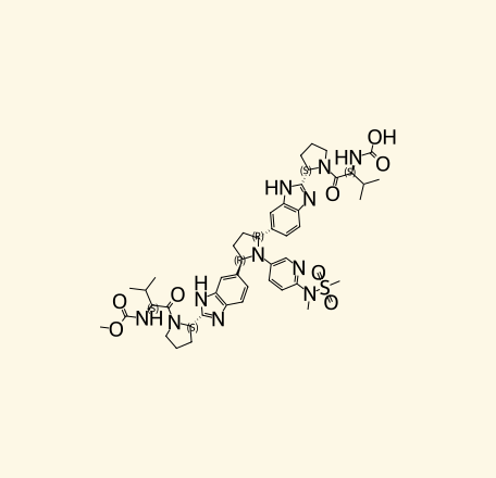 COC(=O)N[C@H](C(=O)N1CCC[C@H]1c1nc2ccc([C@H]3CC[C@H](c4ccc5nc([C@@H]6CCCN6C(=O)[C@@H](NC(=O)O)C(C)C)[nH]c5c4)N3c3ccc(N(C)S(C)(=O)=O)nc3)cc2[nH]1)C(C)C